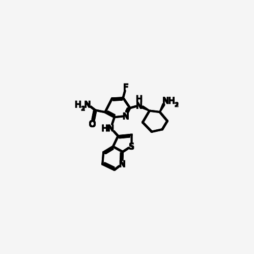 NC(=O)c1cc(F)c(N[C@@H]2CCCC[C@@H]2N)nc1Nc1csc2ncccc12